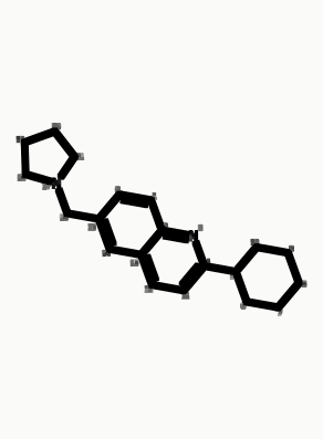 c1cc2nc(C3CCCCC3)ccc2cc1CN1CCCC1